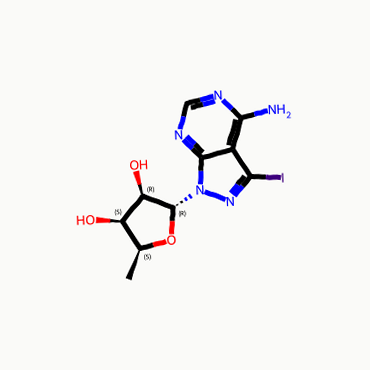 C[C@@H]1O[C@@H](n2nc(I)c3c(N)ncnc32)[C@H](O)[C@@H]1O